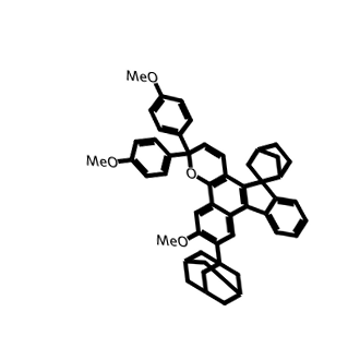 COc1ccc(C2(c3ccc(OC)cc3)C=Cc3c4c(c5cc(C67CC8CC(CC(C8)C6)C7)c(OC)cc5c3O2)-c2ccccc2C42CC3CCC2C3)cc1